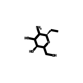 CC[C@@H]1OC(CO)[C@@H](O)C(O)C1N